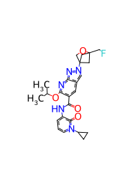 CC(C)Oc1nc2nn(C34COC(CF)(C3)C4)cc2cc1C(=O)Nc1cccn(C2CC2)c1=O